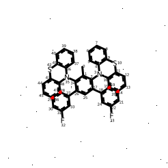 Cc1c(N2c3ccccc3Sc3ccccc32)c(-c2cccc(F)c2)cc(-c2cccc(F)c2)c1N1c2ccccc2Sc2ccccc21